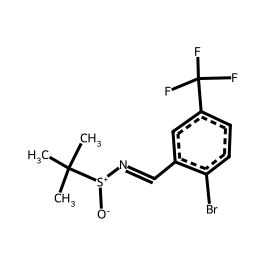 CC(C)(C)[S+]([O-])N=Cc1cc(C(F)(F)F)ccc1Br